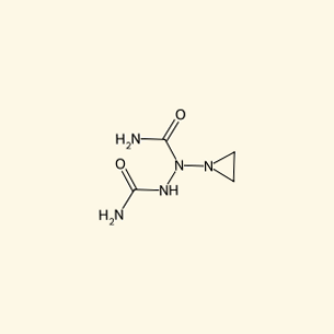 NC(=O)NN(C(N)=O)N1CC1